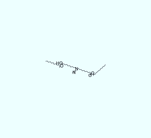 CCCCCCCCCCC(C)OC(=O)CCCCCCCCCN(CCCCCCCCCC(O)OC(C)CCCCCCCCCC)CCN(C)C